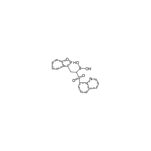 O=S(=O)(c1cccc2cccnc12)C(Cc1coc2ccccc12)B(O)O